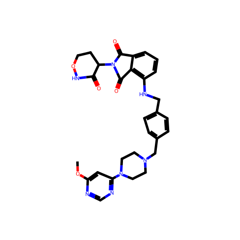 COc1cc(N2CCN(Cc3ccc(CNc4cccc5c4C(=O)N(C4CCONC4=O)C5=O)cc3)CC2)ncn1